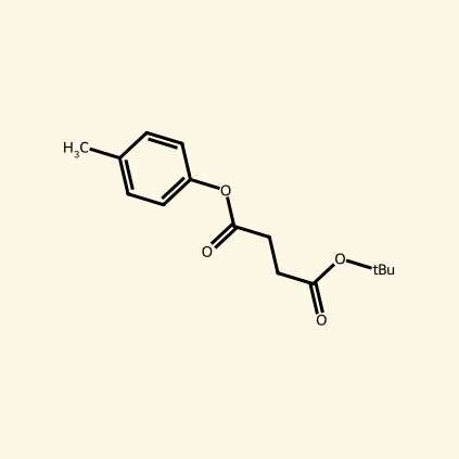 Cc1ccc(OC(=O)CCC(=O)OC(C)(C)C)cc1